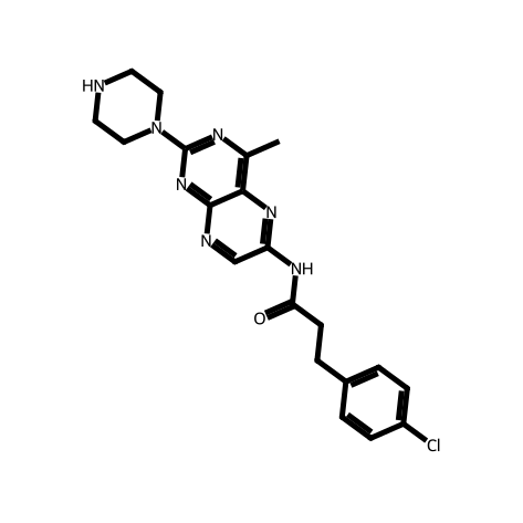 Cc1nc(N2CCNCC2)nc2ncc(NC(=O)CCc3ccc(Cl)cc3)nc12